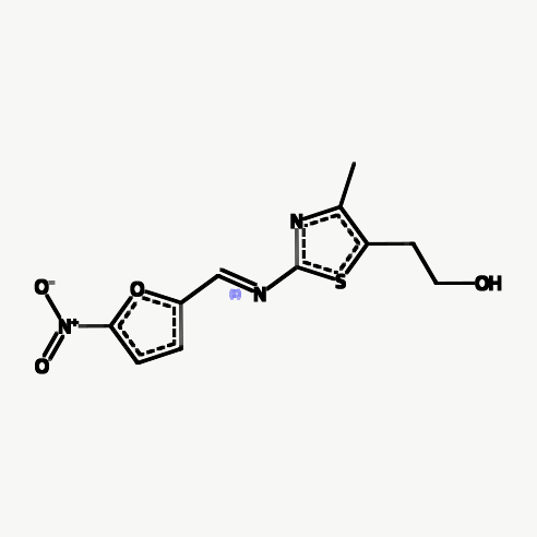 Cc1nc(/N=C/c2ccc([N+](=O)[O-])o2)sc1CCO